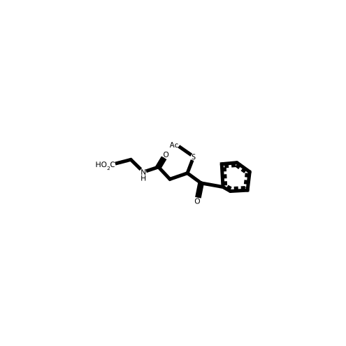 CC(=O)SC(CC(=O)NCC(=O)O)C(=O)c1ccccc1